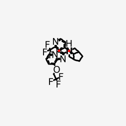 FC(F)(F)COc1cccn2nc(NC3C4CCC3CN(c3ccnc(C(F)(F)F)c3)C4)nc12